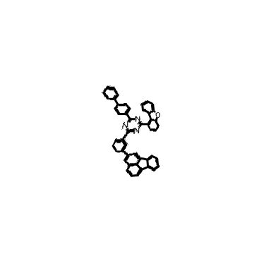 c1ccc(-c2ccc(-c3nc(-c4cccc(-c5cc6c7c(cccc7c5)-c5ccccc5-6)c4)nc(-c4cccc5oc6ccccc6c45)n3)cc2)cc1